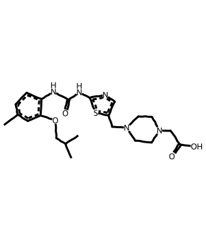 Cc1ccc(NC(=O)Nc2ncc(CN3CCN(CC(=O)O)CC3)s2)c(OCC(C)C)c1